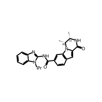 CC(C)n1c(NC(=O)c2ccc3cc4n(c3c2)[C@H](C)[C@H](C)NC4=O)nc2ccccc21